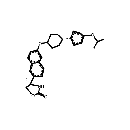 CC(C)Oc1ccc([C@H]2CC[C@H](Oc3ccc4cc([C@]5(C)COC(=O)N5)ccc4c3)CC2)cc1